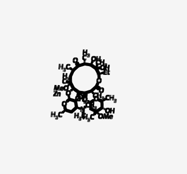 CC[C@H]1OC(=O)[C@H](C)[C@@H](O[C@H]2C[C@@](C)(OC)[C@@H](O)[C@H](C)O2)C(C)[C@@H](O[C@@H]2O[C@H](C)C[C@H](N(C)C)[C@H]2O)[C@](C)(OC)C[C@@H](C)C(=O)[C@H](C)[C@@H](O)[C@]1(C)O.[Zn]